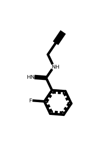 C#CCNC(=N)c1ccccc1F